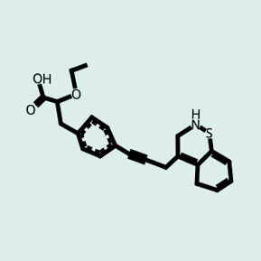 CCOC(Cc1ccc(C#CCC2=C3CC=CC=C3SNC2)cc1)C(=O)O